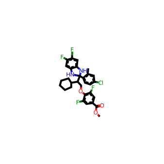 COC(=O)c1cc(F)c(OCC(C2CCCCC2)C2(c3ccc(Cl)cc3C)Nc3cc(F)c(F)cc3N2)c(F)c1